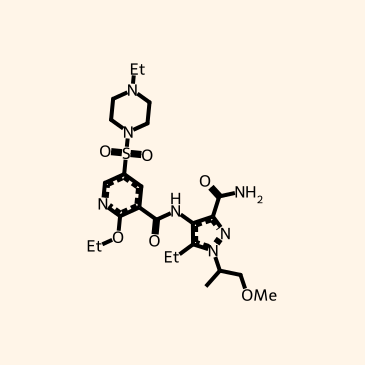 CCOc1ncc(S(=O)(=O)N2CCN(CC)CC2)cc1C(=O)Nc1c(C(N)=O)nn(C(C)COC)c1CC